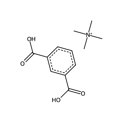 C[N+](C)(C)C.O=C(O)c1cccc(C(=O)O)c1